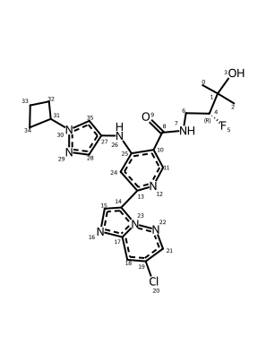 CC(C)(O)[C@H](F)CNC(=O)c1cnc(-c2cnc3cc(Cl)cnn23)cc1Nc1cnn(C2CCC2)c1